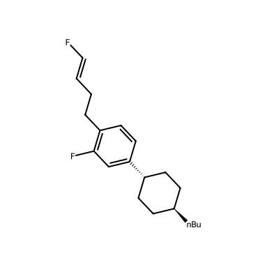 CCCC[C@H]1CC[C@H](c2ccc(CCC=CF)c(F)c2)CC1